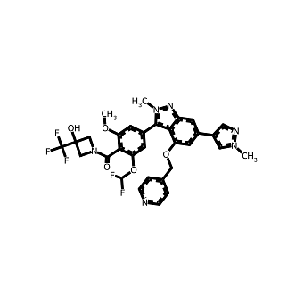 COc1cc(-c2c3c(OCc4ccncc4)cc(-c4cnn(C)c4)cc3nn2C)cc(OC(F)F)c1C(=O)N1CC(O)(C(F)(F)F)C1